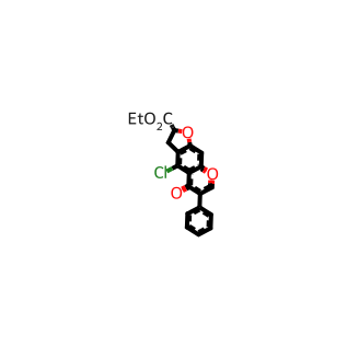 CCOC(=O)C1Cc2c(cc3occ(-c4ccccc4)c(=O)c3c2Cl)O1